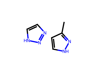 Cc1cc[nH]n1.c1c[nH]nn1